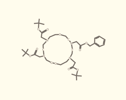 CC(C)(C)OC(=O)CN1CCOCCN(CC(=O)OC(C)(C)C)CCN(CC(=O)OC(C)(C)C)CCOCCN(CC(=O)OCc2ccccc2)CC1